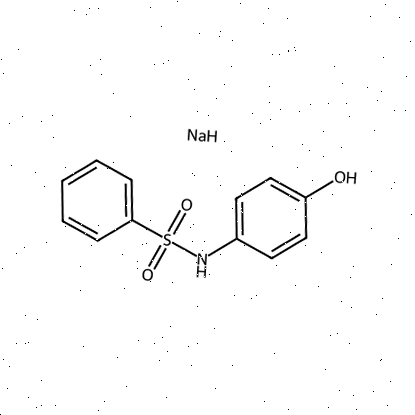 O=S(=O)(Nc1ccc(O)cc1)c1ccccc1.[NaH]